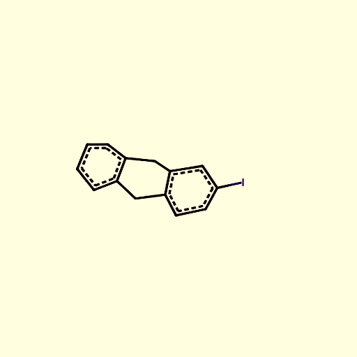 Ic1ccc2c(c1)Cc1ccccc1C2